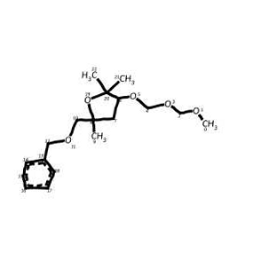 COCOCOC1CC(C)(COCc2ccccc2)OC1(C)C